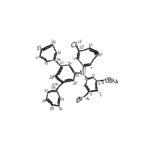 CC(C)(C)c1cc(Br)cc(N(c2cccc(Cl)c2)c2cc(-c3ccccc3)cc(-c3ccccc3)c2)c1